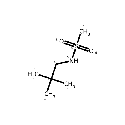 CC(C)(C)CNS(C)(=O)=O